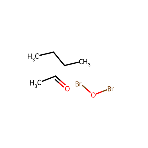 BrOBr.CC=O.CCCC